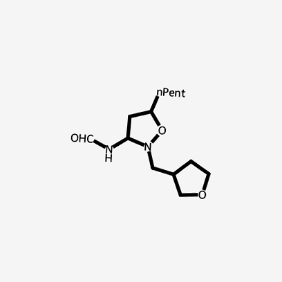 CCCCCC1CC(NC=O)N(CC2CCOC2)O1